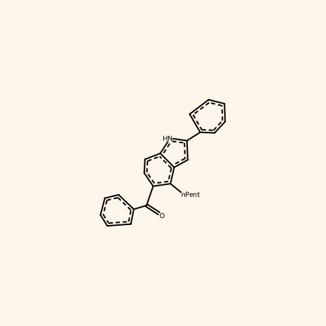 CCCCCc1c(C(=O)c2ccccc2)ccc2[nH]c(-c3ccccc3)[c]c12